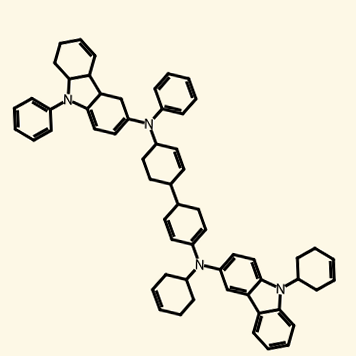 C1=CCC(N(C2=CCC(C3C=CC(N(C4=CC=C5C(C4)C4C=CCCC4N5c4ccccc4)c4ccccc4)CC3)C=C2)c2ccc3c(c2)c2ccccc2n3C2CC=CCC2)CC1